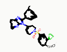 Cc1cccc(-c2nc3cccnc3n2C2CCN(S(=O)(=O)c3ccc(C=O)c(Cl)c3)CC2)c1